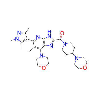 Cc1nn(C)c(C)c1-c1nc2[nH]c(C(=O)N3CCC(N4CCOCC4)CC3)nc2c(N2CCOCC2)c1C